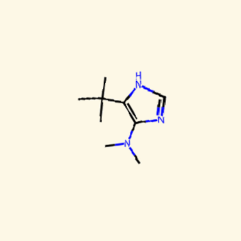 CN(C)c1nc[nH]c1C(C)(C)C